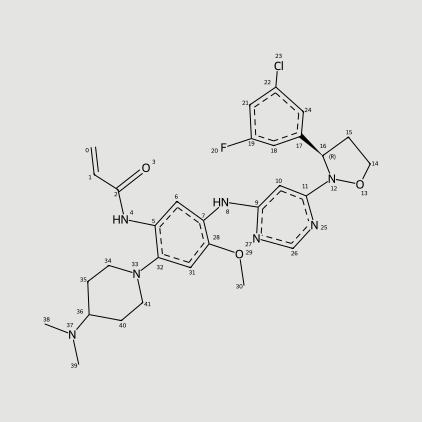 C=CC(=O)Nc1cc(Nc2cc(N3OCC[C@@H]3c3cc(F)cc(Cl)c3)ncn2)c(OC)cc1N1CCC(N(C)C)CC1